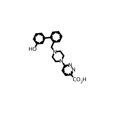 O=C(O)c1ccc(N2CCN(Cc3ccccc3-c3cccc(O)c3)CC2)nn1